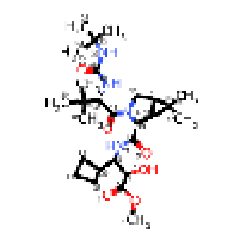 COC(=O)C(O)C(NC(=O)[C@@H]1C2C(CN1C(=O)[C@@H](NC(=O)NC(C)(C)C)C(C)(C)C)C2(C)C)C1CCC1